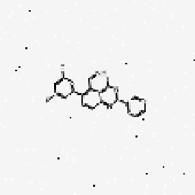 Cc1nc(-c2cccnc2)nc2ccc(-c3cc(F)cc(F)c3)c(C=N)c12